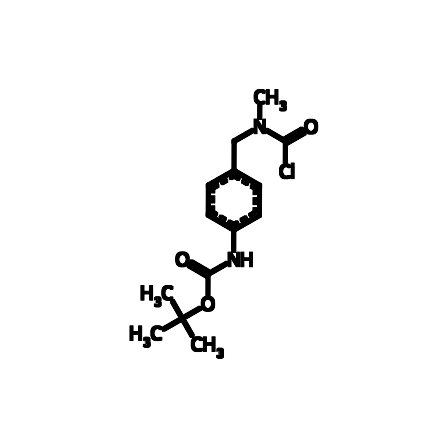 CN(Cc1ccc(NC(=O)OC(C)(C)C)cc1)C(=O)Cl